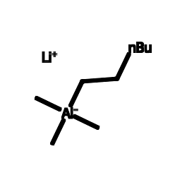 CCCCC[CH2][Al-]([CH3])([CH3])[CH3].[Li+]